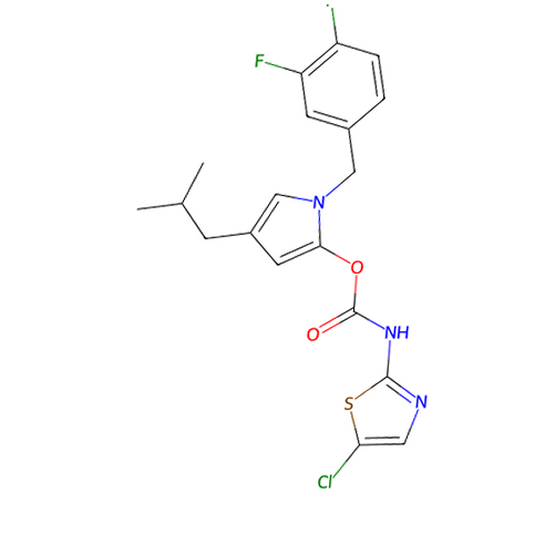 CC(C)Cc1cc(OC(=O)Nc2ncc(Cl)s2)n(Cc2ccc(F)c(F)c2)c1